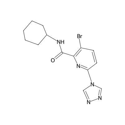 O=C(NC1CCCCC1)c1nc(-n2cnnc2)ccc1Br